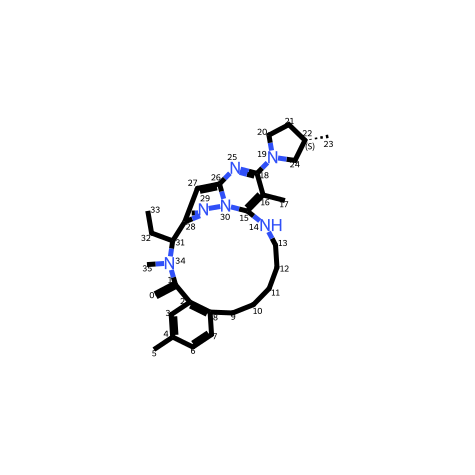 C=C1c2cc(C)ccc2CCCCCNc2c(C)c(N3CC[C@H](C)C3)nc3cc(nn23)C(CC)N1C